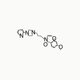 COc1ccc2c(c1)OC=CN(CCCCN1CCN(c3ccccn3)CC1)C2=O